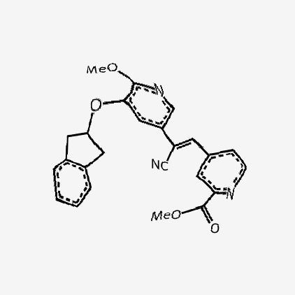 COC(=O)c1cc(/C=C(\C#N)c2cnc(OC)c(OC3Cc4ccccc4C3)c2)ccn1